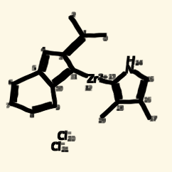 CC(C)=C1C=c2ccccc2=[C]1[Zr+2][c]1[nH]cc(C)c1C.[Cl-].[Cl-]